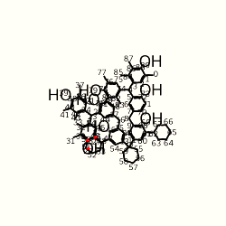 Cc1cc(C(c2cc(Cc3cc(C4(c5cc(Cc6ccc(O)c(C(c7cc(C)c(O)c(C)c7C)c7cc(C)c(O)c(C)c7C)c6)c(O)c(C6CCCCC6)c5)CCCCC4)cc(C4CCCCC4)c3O)ccc2O)c2cc(C)c(O)c(C)c2C)c(C)c(C)c1O